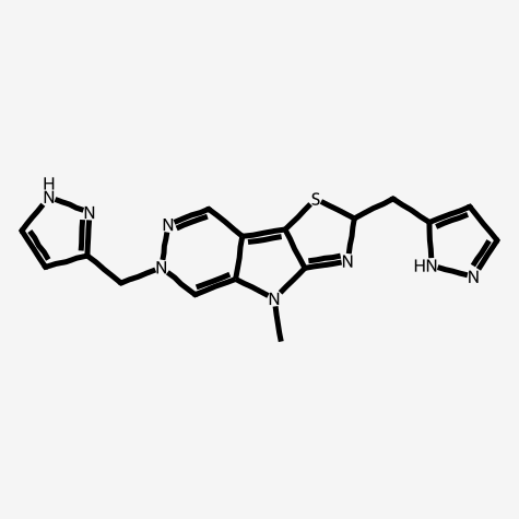 Cn1c2c(c3c1=NC(Cc1ccn[nH]1)S3)C=NN(Cc1cc[nH]n1)C=2